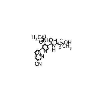 CC(C)(O)C(F)CNC(=O)c1cnc(-c2ccc3cc(C#N)cnn23)cc1NS(C)(=O)=O